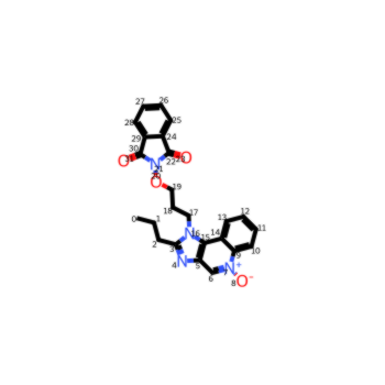 CCCc1nc2c[n+]([O-])c3ccccc3c2n1CCCON1C(=O)c2ccccc2C1=O